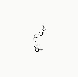 O=C(CNC(=O)c1cccc(C(F)(F)F)c1)N[C@@H]1CCN(C2CCC(O)(c3cc(CF)ns3)CC2)C1